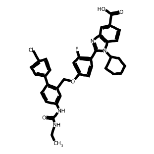 CCNC(=O)Nc1ccc(-c2ccc(Cl)cc2)c(COc2ccc(-c3nc4cc(C(=O)O)ccc4n3C3CCCCC3)c(F)c2)c1